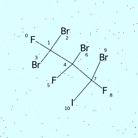 FC(Br)(Br)C(F)(Br)C(F)(Br)I